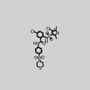 Cc1nn(C)c(Cl)c1S(=O)(=O)Nc1ccc(Cl)cc1C(=O)Nc1ccc(S(=O)(=O)N2CCSCC2)cc1